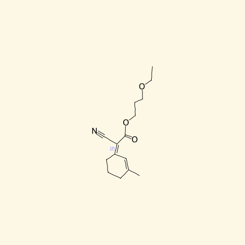 CCOCCCOC(=O)/C(C#N)=C1\C=C(C)CCC1